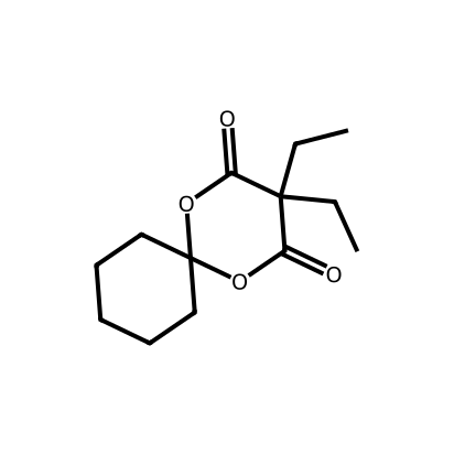 CCC1(CC)C(=O)OC2(CCCCC2)OC1=O